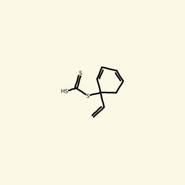 C=CC1(SC(=S)S)C=CC=CC1